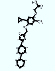 Cc1cc(OCc2nc(-c3ccc(-c4ccccc4)cc3)cs2)c(C2CC2)cc1OCC(=O)O